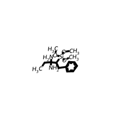 CCC(N)(N)C(Cc1ccccc1)[Si](OC)(OC)OC